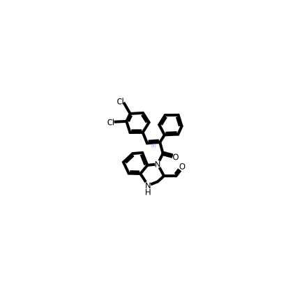 O=CC1CNc2ccccc2N1C(=O)/C(=C/c1ccc(Cl)c(Cl)c1)c1ccccc1